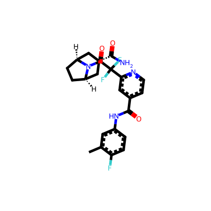 Cc1cc(NC(=O)c2ccnc(C(F)(F)C(=O)N3[C@@H]4CC[C@H]3C[C@H](C(N)=O)C4)c2)ccc1F